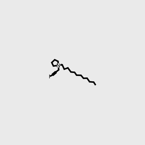 CCCCCCCCCCCC[N+]1(CC#CI)CCCC1